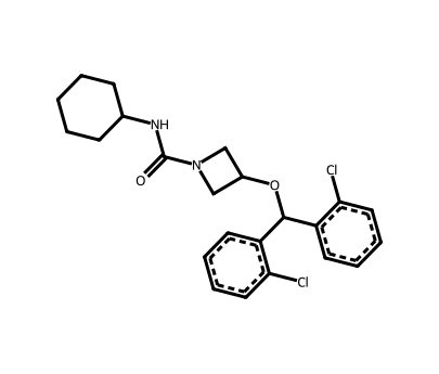 O=C(NC1CCCCC1)N1CC(OC(c2ccccc2Cl)c2ccccc2Cl)C1